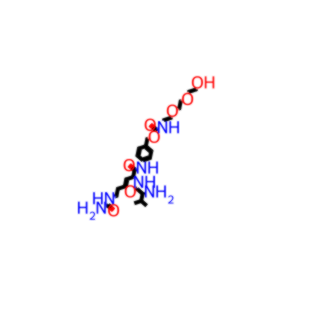 CC(C)[C@H](N)C(=O)NC(/C=C/CCNC(N)=O)C(=O)Nc1ccc(COC(=O)NCCOCCOCCO)cc1